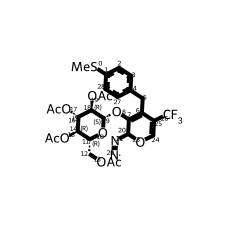 CSc1ccc(CC2=C(O[C@@H]3O[C@H](COC(C)=O)[C@@H](OC(C)=O)[C@H](OC(C)=O)[C@H]3OC(C)=O)C(N=[N])OC=C2C(F)(F)F)cc1